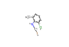 Cc1[c]ccc(Cl)c1N=C=S